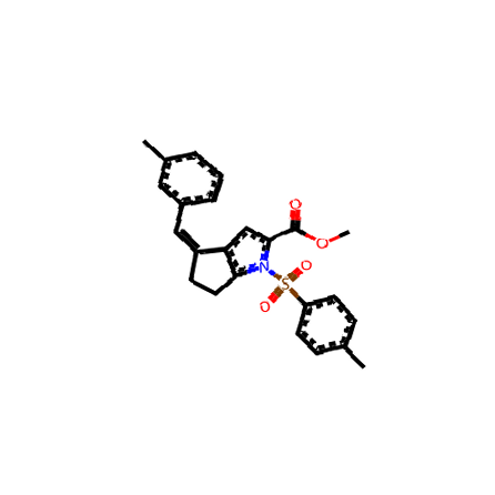 COC(=O)c1cc2c(n1S(=O)(=O)c1ccc(C)cc1)CCC2=Cc1cccc(C)c1